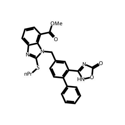 CCCSc1nc2cccc(C(=O)OC)c2n1Cc1ccc(-c2ccccc2)c(-c2nc(=O)o[nH]2)c1